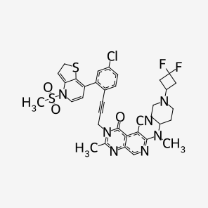 Cc1nc2cnc(N(C)C3CCN(C4CC(F)(F)C4)CC3)c(C#N)c2c(=O)n1CC#Cc1ccc(Cl)cc1C1=C2SCC=C2N(S(C)(=O)=O)C=C1